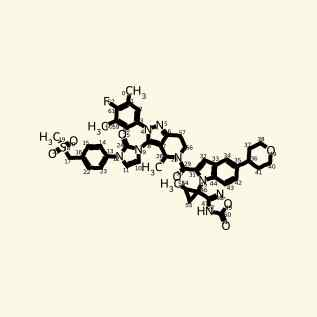 Cc1cc(-n2nc3c(c2-n2ccn(-c4ccc(CS(C)(=O)=O)cc4)c2=O)C(C)N(C(=O)c2cc4cc(C5CCOCC5)ccc4n2C2(c4noc(=O)[nH]4)CC2C)CC3)cc(C)c1F